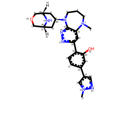 CN1CCCN([C@@H]2C[C@H]3COC[C@@H](C2)N3)c2nnc(-c3ccc(-c4cnn(C)c4)cc3O)cc21